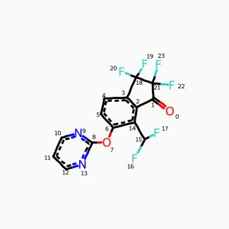 O=C1c2c(ccc(Oc3ncccn3)c2C(F)F)C(F)(F)C1(F)F